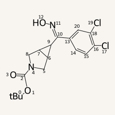 CC(C)(C)OC(=O)N1CC2C(C1)C2C(=NO)c1ccc(Cl)c(Cl)c1